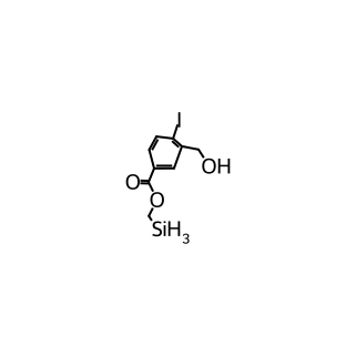 O=C(OC[SiH3])c1ccc(I)c(CO)c1